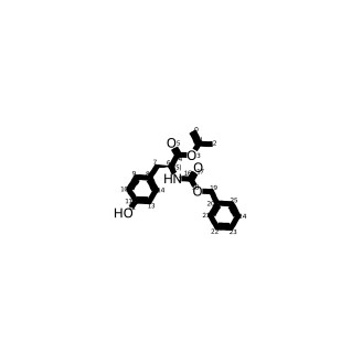 C=C(C)OC(=O)[C@H](Cc1ccc(O)cc1)NC(=O)OCc1ccccc1